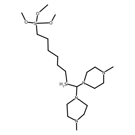 CO[Si](CCCCCC[SiH2]C(N1CCN(C)CC1)N1CCN(C)CC1)(OC)OC